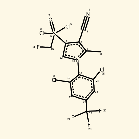 Cc1c(C#N)c(S(=O)(Cl)(Cl)CF)cn1-c1c(Cl)cc(C(F)(F)F)cc1Cl